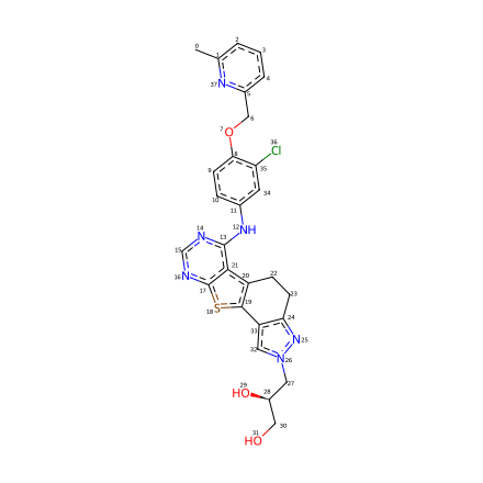 Cc1cccc(COc2ccc(Nc3ncnc4sc5c(c34)CCc3nn(C[C@H](O)CO)cc3-5)cc2Cl)n1